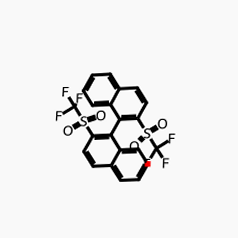 O=S(=O)(c1ccc2ccccc2c1-c1c(S(=O)(=O)C(F)(F)F)ccc2ccccc12)C(F)(F)F